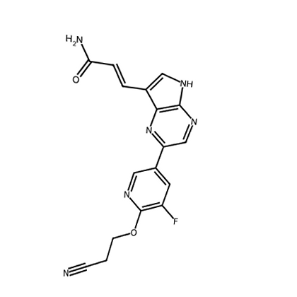 N#CCCOc1ncc(-c2cnc3[nH]cc(C=CC(N)=O)c3n2)cc1F